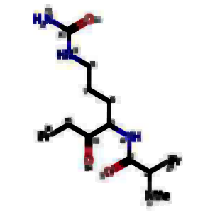 CNC(C(=O)NC(CCCNC(N)=O)C(=O)CC(C)C)C(C)C